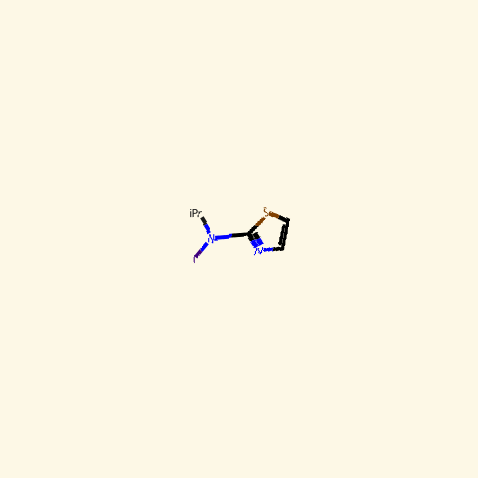 CC(C)N(I)c1nccs1